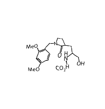 COc1ccc(CN2CCC(CC(CO)NC(=O)O)C2=O)c(OC)c1